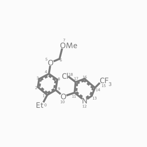 [CH2]Cc1ccc(OCOC)cc1Oc1ncc(C(F)(F)F)cc1Cl